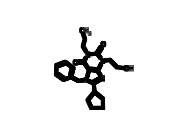 CCCn1c(=O)c2c(nc(C3CCCC3)n2Cc2ccccc2)n(CCO)c1=O